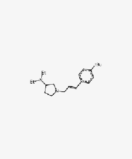 CCN(CC)C1CCN(C/C=C/c2ccc(C(C)(C)C)cc2)C1